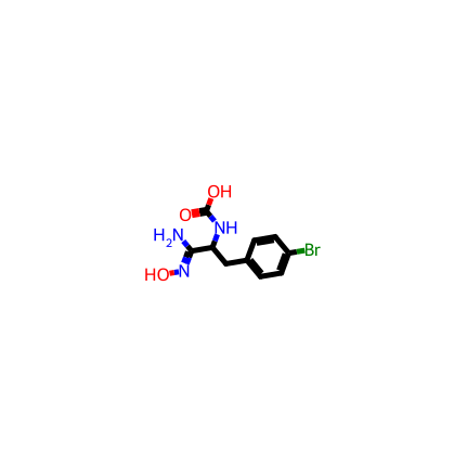 NC(=NO)C(Cc1ccc(Br)cc1)NC(=O)O